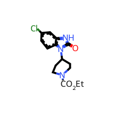 CCOC(=O)N1CCC(n2c(=O)[nH]c3cc(Cl)ccc32)CC1